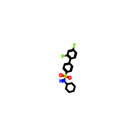 O=S(=O)(NC1CCCCC1)c1ccc(-c2ccc(F)cc2F)cc1